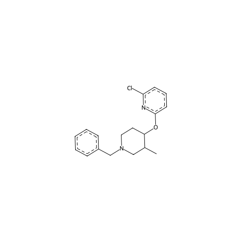 CC1CN(Cc2ccccc2)CCC1Oc1cccc(Cl)n1